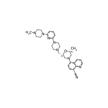 C[C@@H]1CN(c2ccc(C#N)c3ncccc23)C[C@H](CN2CCN(c3cccc(N4CCN(C)CC4)n3)CC2)O1